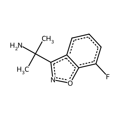 CC(C)(N)c1noc2c(F)cccc12